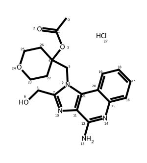 CC(=O)OC1(Cn2c(CO)nc3c(N)nc4ccccc4c32)CCOCC1.Cl